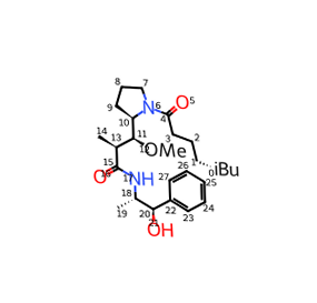 CC[C@@H](C)CCCC(=O)N1CCC[C@@H]1[C@@H](OC)[C@H](C)C(=O)N[C@@H](C)[C@H](O)c1ccccc1